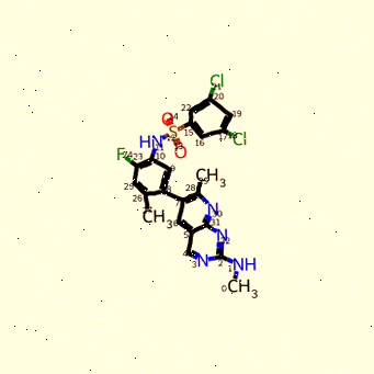 CNc1ncc2cc(-c3cc(NS(=O)(=O)c4cc(Cl)cc(Cl)c4)c(F)cc3C)c(C)nc2n1